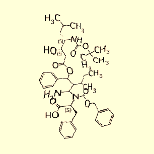 CCC(C)C(C(OC(=O)C[C@H](O)[C@H](CC(C)C)NC(=O)OC(C)(C)C)c1ccccc1)C(N)N(C(=O)OCc1ccccc1)[C@@H](Cc1ccccc1)C(=O)O